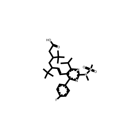 CC(C)c1nc(N(C)S(C)(=O)=O)nc(-c2ccc(F)cc2)c1/C=C/C(CC(CC(=O)O)C(C)(C)C)C(C)(C)C